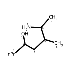 CCCC(O)CC(C)C(C)N